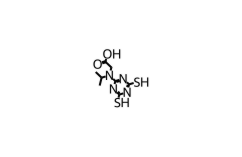 CC(C)N(CC(=O)O)c1nc(S)nc(S)n1